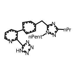 CCCCCn1nc(CCC)nc1Cc1ccc(-c2cccnc2-c2nnn[nH]2)cc1